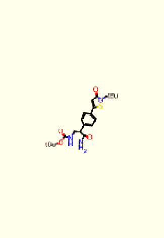 CC(C)(C)OC(=O)NC[C@H](C(N)=O)c1ccc(-c2cc(=O)n(C(C)(C)C)s2)cc1